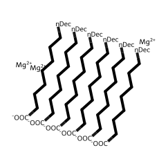 CCCCCCCCCCCCCCCCCC(=O)[O-].CCCCCCCCCCCCCCCCCC(=O)[O-].CCCCCCCCCCCCCCCCCC(=O)[O-].CCCCCCCCCCCCCCCCCC(=O)[O-].CCCCCCCCCCCCCCCCCC(=O)[O-].CCCCCCCCCCCCCCCCCC(=O)[O-].[Mg+2].[Mg+2].[Mg+2]